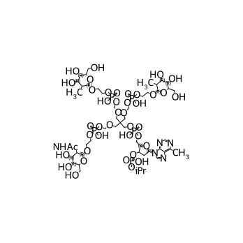 CC(=O)NC1[C@H](OCCOP(=O)(O)OCOCC(COCOP(=O)(O)OCCO[C@@H]2OC(CO)[C@H](O)[C@H](O)C2C)(COCOP(=O)(O)OCCO[C@@H]2OC(CO)[C@H](O)[C@H](O)C2C)COP(=O)(O)OC[C@H]2O[C@@H](n3cnc4c(C)ncnc43)CC2OP(=O)(O)OC(C)C)OC(CO)[C@H](O)[C@@H]1O